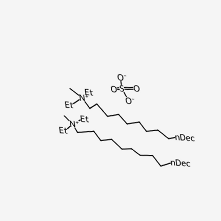 CCCCCCCCCCCCCCCCCCC[N+](C)(CC)CC.CCCCCCCCCCCCCCCCCCC[N+](C)(CC)CC.O=S(=O)([O-])[O-]